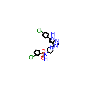 O=S(=O)(NC1CCN(c2ncnc3[nH]c(-c4ccc(Cl)cc4)cc23)CC1)c1cccc(Cl)c1